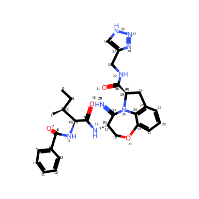 CC[C@H](C)[C@H](NC(=O)c1ccccc1)C(=O)N[C@H]1COc2cccc3c2N(C1=N)[C@@H](C(=O)NCc1c[nH]nn1)C3